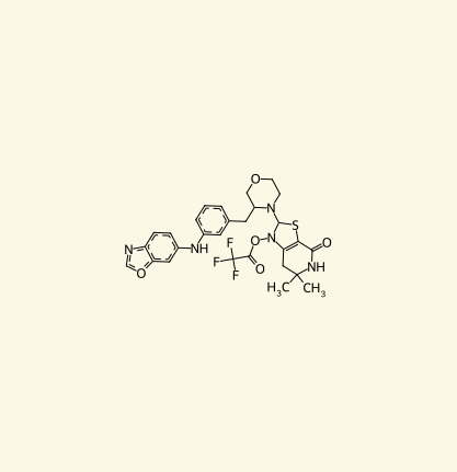 CC1(C)CC2=C(SC(N3CCOCC3Cc3cccc(Nc4ccc5ncoc5c4)c3)N2OC(=O)C(F)(F)F)C(=O)N1